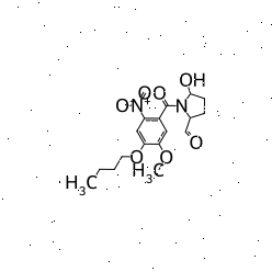 CCCCOc1cc([N+](=O)[O-])c(C(=O)N2C(O)CCC2C=O)cc1OC